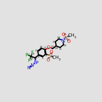 CS(=O)(=O)c1cc(C(N=[N+]=[N-])C(F)(F)F)ccc1OCC1CCN(S(C)(=O)=O)CC1